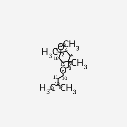 COC1(C)CCC(C)(COCCC(C)C)CC1